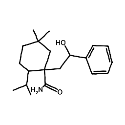 CC(C)C1CCC(C)(C)CC1(CC(O)c1ccccc1)C(N)=O